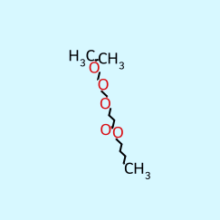 CCCCCCOC(=O)CCCOCCOCCOC(C)C